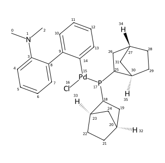 CN(C)c1ccccc1-c1cccc[c]1[Pd]([Cl])[P](C1C[C@H]2CC[C@@H]1C2)C1C[C@@H]2CC[C@@H]1C2